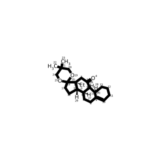 CC[C@]12CC(=O)[C@H]3[C@@H](CCC4=CCCC[C@@H]43)[C@@H]1CCC21OCC(C)(C)CO1